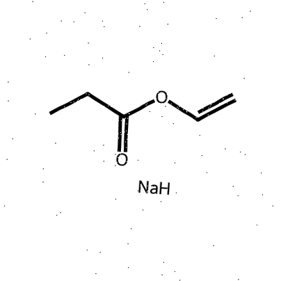 C=COC(=O)CC.[NaH]